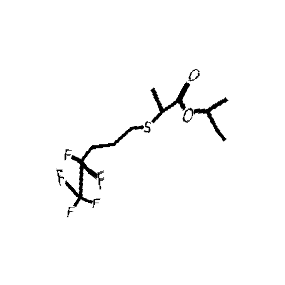 CC(C)OC(=O)C(C)SCCCC(F)(F)C(F)(F)F